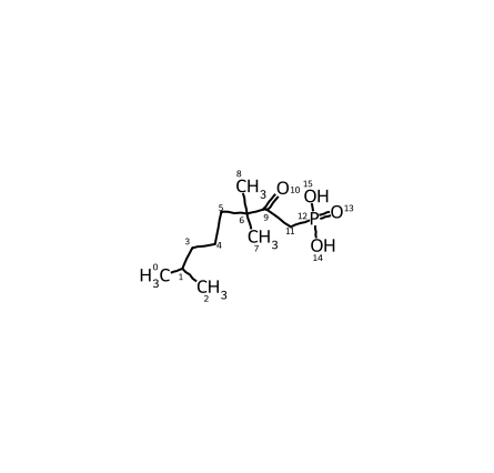 CC(C)CCCC(C)(C)C(=O)CP(=O)(O)O